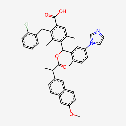 COc1ccc2cc(C(C)C(=O)OC(c3cc(-n4ccnc4)ccc3C)c3c(C)cc(C(=O)O)c(Cc4ccccc4Cl)c3C)ccc2c1